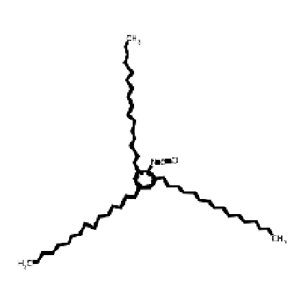 CCCCCCCCCCCCCCCCc1cc(CCCCCCCCCCCCCCCC)c(N=C=O)c(CCCCCCCCCCCCCCCC)c1